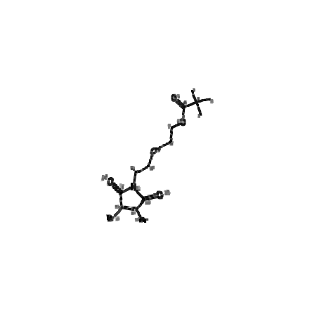 CC(C)(C)C(=O)OCCOCCN1C(=O)C(Br)=C(Br)C1=O